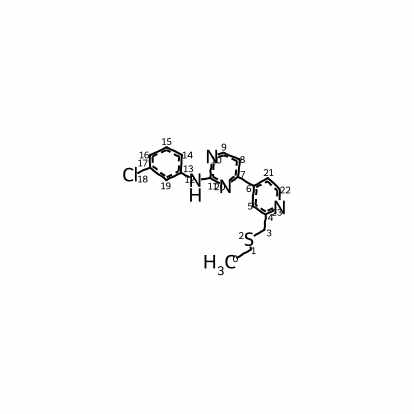 CCSCc1cc(-c2ccnc(Nc3cccc(Cl)c3)n2)ccn1